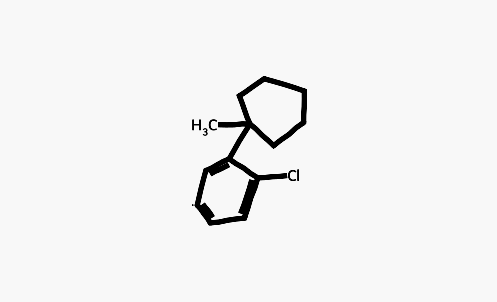 CC1(c2c[c]ccc2Cl)CCCCC1